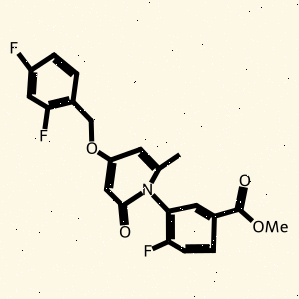 COC(=O)c1ccc(F)c(-n2c(C)cc(OCc3ccc(F)cc3F)cc2=O)c1